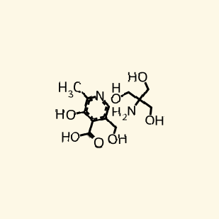 Cc1ncc(CO)c(C(=O)O)c1O.NC(CO)(CO)CO